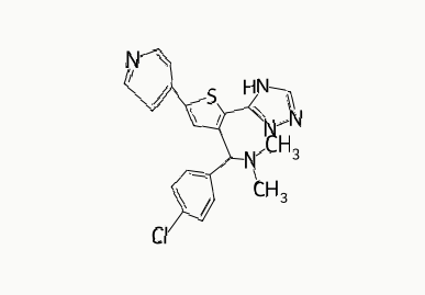 CN(C)C(c1ccc(Cl)cc1)c1cc(-c2ccncc2)sc1-c1nnc[nH]1